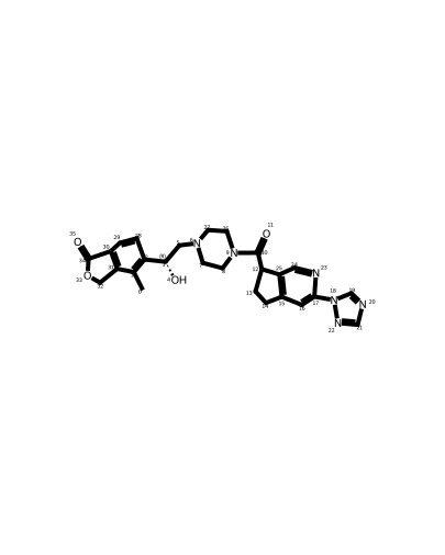 Cc1c([C@@H](O)CN2CCN(C(=O)C3CCc4cc(-n5cncn5)ncc43)CC2)ccc2c1COC2=O